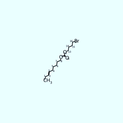 CCC=CCCCCCOC(=O)OCCCCBr